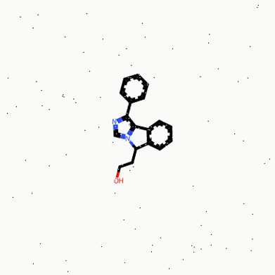 OCCC1c2ccccc2-c2c(-c3ccccc3)ncn21